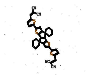 N#CC(C#N)=Cc1ccc(-c2cc3c(s2)C2=C(c4sc(-c5ccc(C=C(C#N)C#N)s5)cc4C24CCCCC4)C32CCCCC2)s1